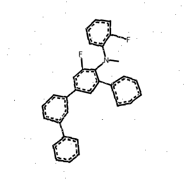 CN(c1ccccc1F)c1c(F)cc(-c2cccc(-c3ccccc3)c2)cc1-c1ccccc1